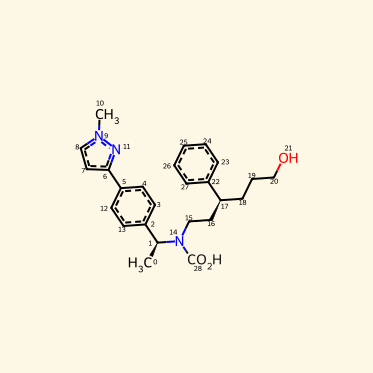 C[C@@H](c1ccc(-c2ccn(C)n2)cc1)N(CC[C@H](CCCO)c1ccccc1)C(=O)O